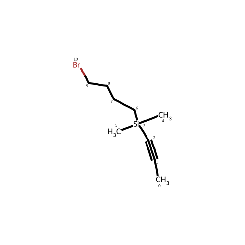 CC#C[Si](C)(C)CCCCBr